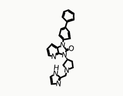 O=c1n(-c2ccc(-c3ccccc3)cc2)c2cccnc2n1[C@H]1CCN(Cc2ncc[nH]2)C1